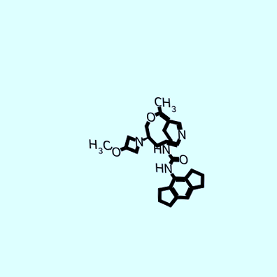 COC1CN([C@@H]2C/C=C/N=C\C(CCNC(=O)Nc3c4c(cc5c3CCC5)CCC4)=C(/C)OC2)C1